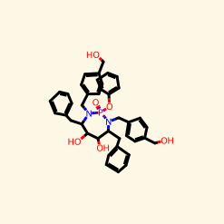 O=P1(Oc2ccccc2)N(Cc2ccc(CO)cc2)C(Cc2ccccc2)C(O)C(O)C(Cc2ccccc2)N1Cc1ccc(CO)cc1